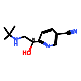 CC(C)(C)NC[C@H](O)c1ccc(C#N)cn1